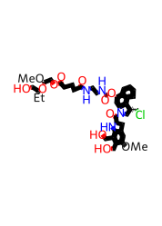 CCC(CO)OC(COC(=O)CCCC(=O)NCCNC(=O)Oc1cc2c(c3ccccc13)[C@H](CCl)CN2C(=O)C1Cc2cc(OC)c(CO)c(CO)c2N1)OC